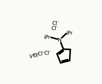 CC(C)N(C1=CC=CC1)C(C)C.[Cl-].[Cl-].[Cl-].[Cl-].[Cl-].[V+5]